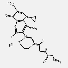 COc1c(N2CCCC(=C(F)CNC(=O)CN)C2)c(F)cc2c(=O)c(C(=O)O)cn(C3CC3)c12.Cl